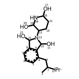 C[C](C)C(C)Cc1cccc2c1C(O)N(C1CCC(O)NC1O)C2O